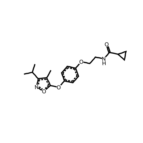 Cc1c(C(C)C)noc1Oc1ccc(OCCNC(=O)C2CC2)cc1